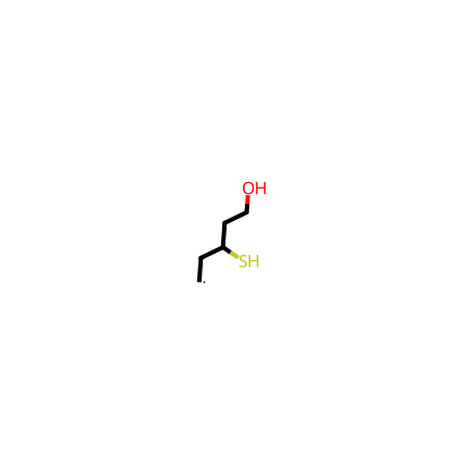 [CH2]CC(S)CCO